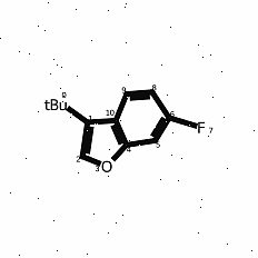 CC(C)(C)c1coc2cc(F)ccc12